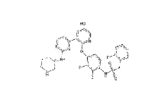 Cl.O=S(=O)(Cc1ccccc1F)Nc1ccc(Oc2ncccc2-c2ccnc(N[C@H]3CCCNC3)n2)c(F)c1F